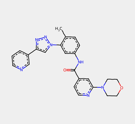 Cc1ccc(NC(=O)c2ccnc(N3CCOCC3)c2)cc1-n1cc(-c2cccnc2)nn1